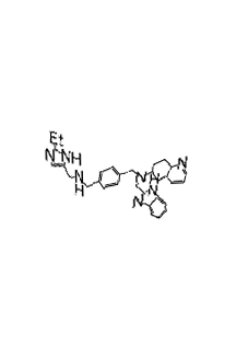 CCc1ncc(CNCc2ccc(CN(Cc3nc4ccccc4[nH]3)C3C=C4C=CC=NC4CC3)cc2)[nH]1